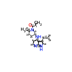 C=CC(=O)N1C[C@H](Nc2ccnc3[nH]cc(CC4CC4)c23)CC[C@@H]1C